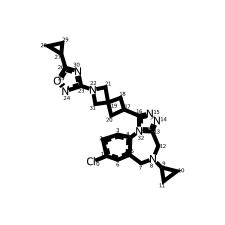 Clc1ccc2c(c1)CN(C1CC1)Cc1nnc(C3CC4(C3)CN(c3noc(C5CC5)n3)C4)n1-2